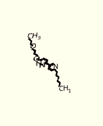 CCCCCCCc1ccc(-c2ccc(OCCCCOCCCC)nn2)cn1